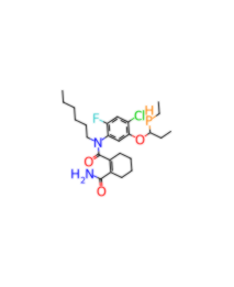 CCCCCCN(C(=O)C1=C(C(N)=O)CCCC1)c1cc(OC(CC)PCC)c(Cl)cc1F